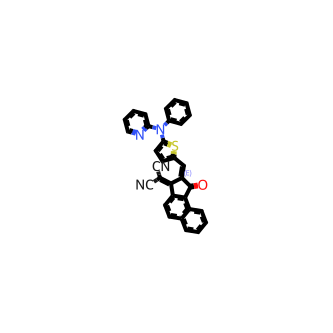 N#CC(C#N)=C1/C(=C\c2ccc(N(c3ccccc3)c3ccccn3)s2)C(=O)c2c1ccc1ccccc21